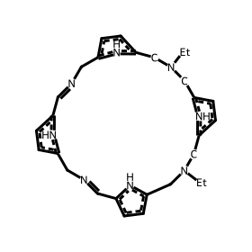 CCN1Cc2ccc([nH]2)/C=N/Cc2ccc([nH]2)/C=N/Cc2ccc([nH]2)CN(CC)Cc2ccc([nH]2)C1